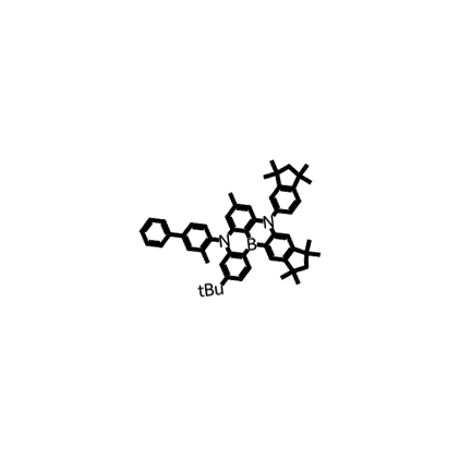 Cc1cc2c3c(c1)N(c1ccc(-c4ccccc4)cc1C)c1cc(C(C)(C)C)ccc1B3c1cc3c(cc1N2c1ccc2c(c1)C(C)(C)CC2(C)C)C(C)(C)CC3(C)C